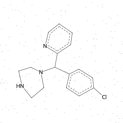 Clc1ccc(C(c2ccccn2)N2CCNCC2)cc1